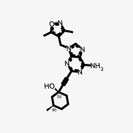 Cc1noc(C)c1Cn1cnc2c(N)nc(C#C[C@]3(O)CCC[C@@H](C)C3)nc21